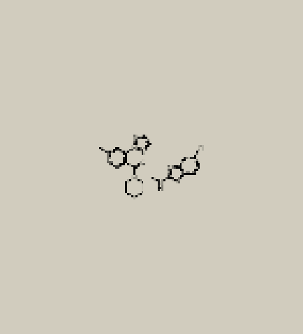 Cc1ccc(C(=O)N2CCC[C@@H](C)[C@H]2CNc2nc3ccc(Cl)cc3o2)c(-n2nccn2)c1